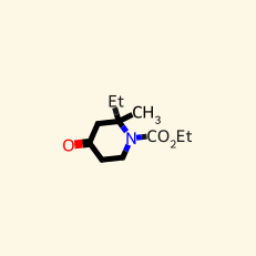 CCOC(=O)N1CCC(=O)CC1(C)CC